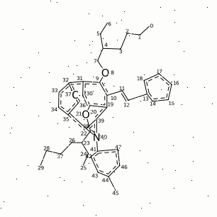 CCCCC(CC)COc1c(C=Cc2cc[c]cc2)c2c(OCC(CC)CCCC)[c]c1c1ccc(cc1)c1c2n1-c1ccc(C)cc1